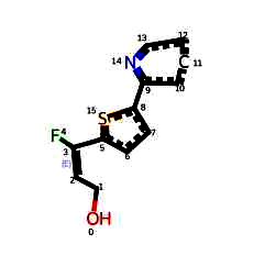 OC/C=C(/F)c1ccc(-c2ccccn2)s1